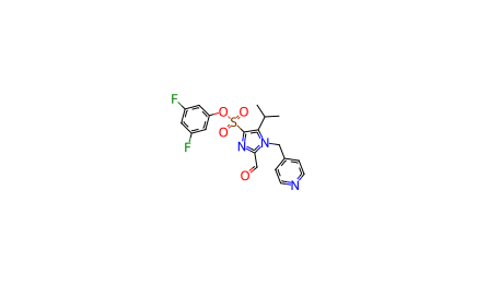 CC(C)c1c(S(=O)(=O)Oc2cc(F)cc(F)c2)nc(C=O)n1Cc1ccncc1